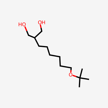 CC(C)(C)OCCCCCCC(CO)CO